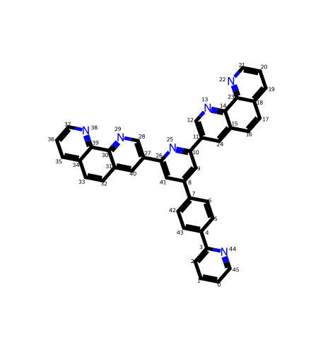 c1ccc(-c2ccc(-c3cc(-c4cnc5c(ccc6cccnc65)c4)nc(-c4cnc5c(ccc6cccnc65)c4)c3)cc2)nc1